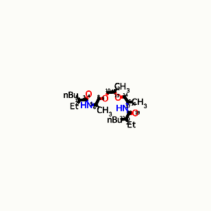 CCCCC(CC)C(=O)NC(C)COCC(C)OCC(C)NC(=O)C(CC)CCCC